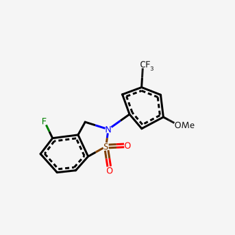 COc1cc(N2Cc3c(F)cccc3S2(=O)=O)cc(C(F)(F)F)c1